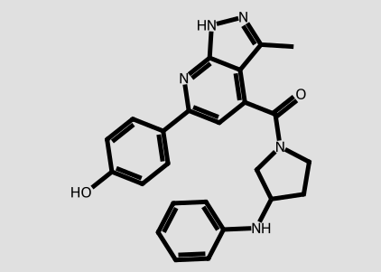 Cc1n[nH]c2nc(-c3ccc(O)cc3)cc(C(=O)N3CCC(Nc4ccccc4)C3)c12